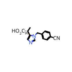 C[C@@H](C(=O)O)c1cncn1Cc1ccc(C#N)cc1